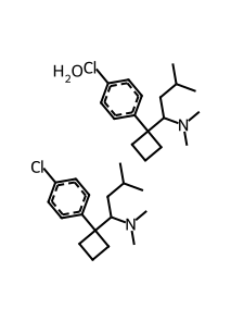 CC(C)CC(N(C)C)C1(c2ccc(Cl)cc2)CCC1.CC(C)CC(N(C)C)C1(c2ccc(Cl)cc2)CCC1.O